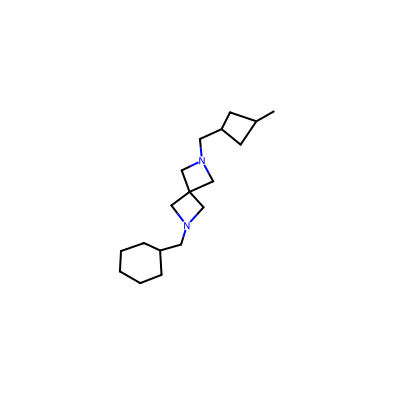 CC1CC(CN2CC3(CN(CC4CCCCC4)C3)C2)C1